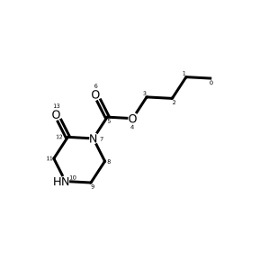 CCCCOC(=O)N1CCNCC1=O